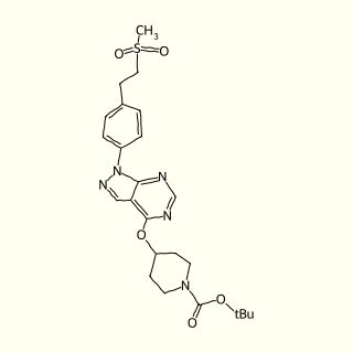 CC(C)(C)OC(=O)N1CCC(Oc2ncnc3c2cnn3-c2ccc(CCS(C)(=O)=O)cc2)CC1